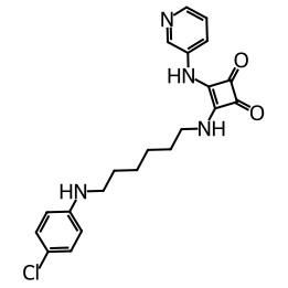 O=c1c(NCCCCCCNc2ccc(Cl)cc2)c(Nc2cccnc2)c1=O